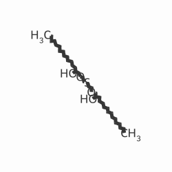 CCCCCCCCCCCCCCC(O)COCCSCCOCC(O)CCCCCCCCCCCCCC